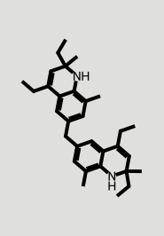 CCC1=CC(C)(CC)Nc2c(C)cc(Cc3cc(C)c4c(c3)C(CC)=CC(C)(CC)N4)cc21